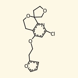 Clc1cc(OCCc2ccco2)c2c(n1)C1(CCOC1)OCC2